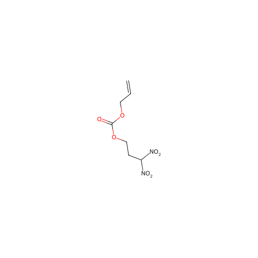 C=CCOC(=O)OCCC([N+](=O)[O-])[N+](=O)[O-]